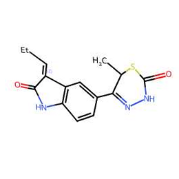 CC/C=C1\C(=O)Nc2ccc(C3=NNC(=O)SC3C)cc21